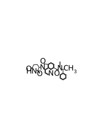 CC(c1ccccc1)N(I)C(=O)c1ccc2c3c(ccnc13)N(C1CCC(=O)NC1=O)C2=O